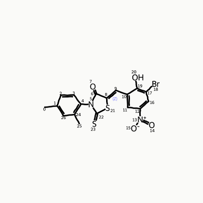 Cc1ccc(N2C(=O)/C(=C/c3cc([N+](=O)[O-])cc(Br)c3O)SC2=S)c(C)c1